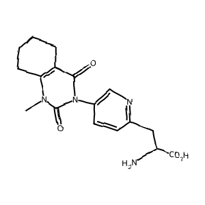 Cn1c2c(c(=O)n(-c3ccc(CC(N)C(=O)O)nc3)c1=O)CCCC2